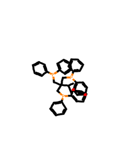 CC(C)C(CP(c1ccccc1)c1ccccc1)(CP(c1ccccc1)c1ccccc1)CP(c1ccccc1)c1ccccc1